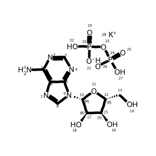 Nc1ncnc2c1ncn2[C@@H]1O[C@H](CO)[C@@H](O)[C@H]1O.O=P([O-])(O)OP(=O)(O)O.[K+]